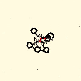 c1ccc(-c2nc(-c3ccccc3)nc(-n3c4ccccc4c4ccc5c6ccccc6n(-c6cccc(-c7ccccn7)n6)c5c43)n2)cc1